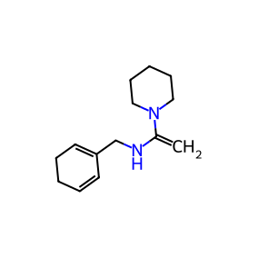 C=C(NCC1=CCCC=C1)N1CCCCC1